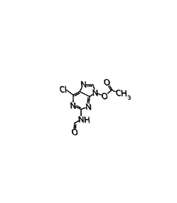 CC(=O)On1cnc2c(Cl)nc(NC=O)nc21